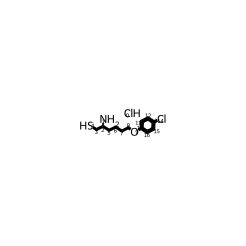 Cl.N[C@H](CS)CCCCOc1ccc(Cl)cc1